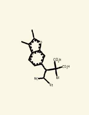 CCC(C#N)C(c1ccc2c(C)c(C)oc2c1)C(CC)(C(=O)O)C(=O)O